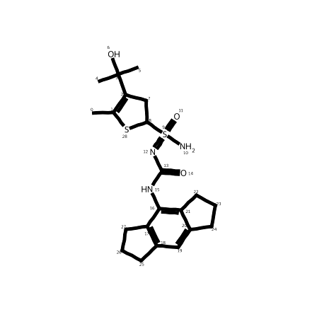 CC1=C(C(C)(C)O)CC(S(N)(=O)=NC(=O)Nc2c3c(cc4c2CCC4)CCC3)S1